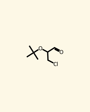 CC(C)(C)OC(C=O)CCl